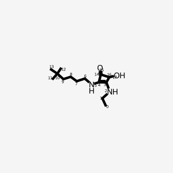 CCNC1=C(NCCCCC(C)(C)C)C(=O)C1O